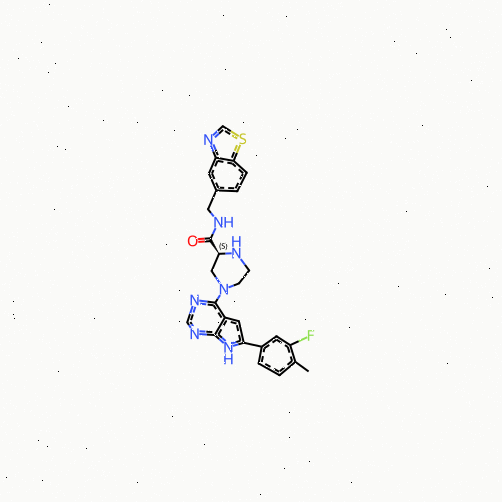 Cc1ccc(-c2cc3c(N4CCN[C@H](C(=O)NCc5ccc6scnc6c5)C4)ncnc3[nH]2)cc1F